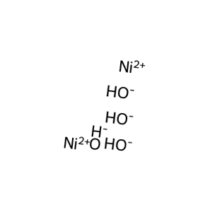 [Ni+2].[Ni+2].[OH-].[OH-].[OH-].[OH-]